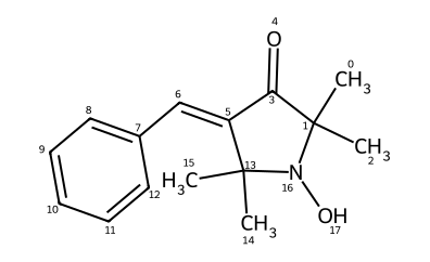 CC1(C)C(=O)C(=Cc2ccccc2)C(C)(C)N1O